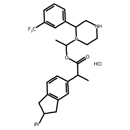 CC(C(=O)OC(C)N1CCNCC1c1cccc(C(F)(F)F)c1)c1ccc2c(c1)CC(C(C)C)C2.Cl